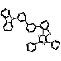 c1ccc(-c2nc(-c3ccccc3)c3sc4cccc(-c5cccc(-c6cccc(-n7c8ccccc8c8ccccc87)c6)c5)c4c3n2)cc1